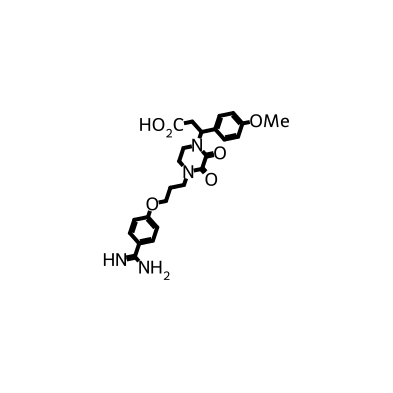 COc1ccc(C(CC(=O)O)N2CCN(CCCOc3ccc(C(=N)N)cc3)C(=O)C2=O)cc1